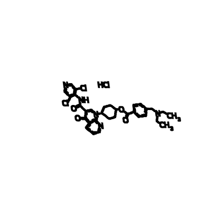 CCN(CC)Cc1ccc(C(=O)O[C@H]2CC[C@H](n3cc(C(=O)Nc4c(Cl)cncc4Cl)c(=O)c4cccnc43)CC2)cc1.Cl